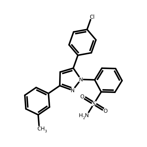 Cc1cccc(-c2cc(-c3ccc(Cl)cc3)n(-c3ccccc3S(N)(=O)=O)n2)c1